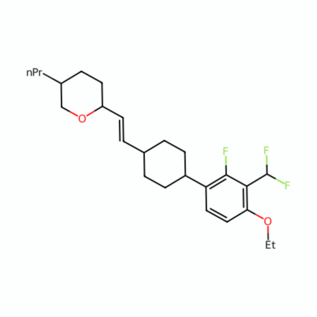 CCCC1CCC(/C=C/C2CCC(c3ccc(OCC)c(C(F)F)c3F)CC2)OC1